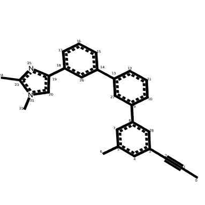 CC#Cc1cc(C)cc(-c2cccc(-c3cccc(-c4cn(C)c(C)n4)c3)c2)c1